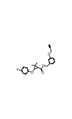 C#CCOc1cccc(COC(=O)C2C(Oc3ccc(F)cc3)C2(C)C)c1